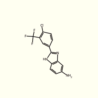 Nc1ccc2[nH]c(-c3ccc(Cl)c(C(F)(F)F)c3)nc2c1